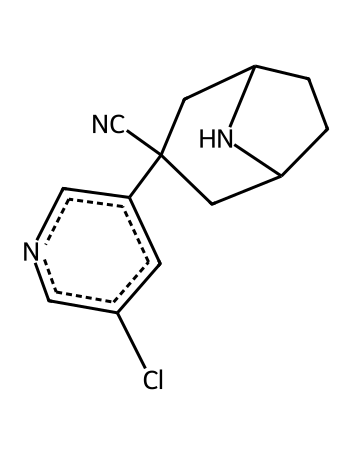 N#CC1(c2cncc(Cl)c2)CC2CCC(C1)N2